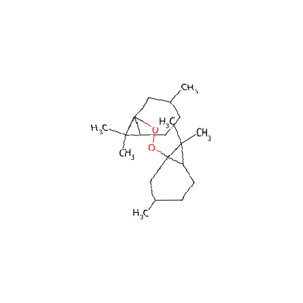 CC1CCC2C(C)(C)C2(OOC23CC(C)CCC2C3(C)C)C1